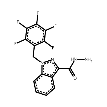 NNC(=O)c1nn(Cc2c(F)c(F)c(F)c(F)c2F)c2ccccc12